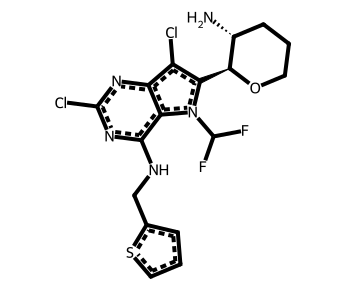 N[C@@H]1CCCO[C@H]1c1c(Cl)c2nc(Cl)nc(NCc3cccs3)c2n1C(F)F